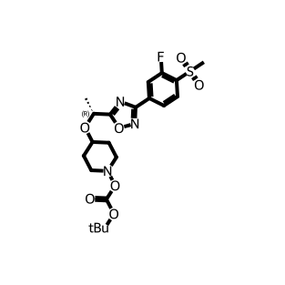 C[C@@H](OC1CCN(OC(=O)OC(C)(C)C)CC1)c1nc(-c2ccc(S(C)(=O)=O)c(F)c2)no1